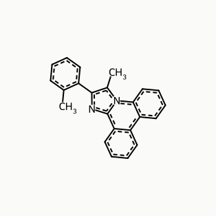 Cc1ccccc1-c1nc2c3ccccc3c3ccccc3n2c1C